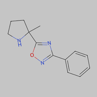 CC1(c2nc(-c3ccccc3)no2)CCCN1